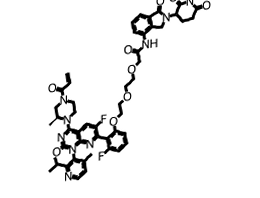 C=CC(=O)N1CCN(c2nc(=O)n(-c3c(C)ccnc3C(C)C)c3nc(-c4c(F)cccc4OCCOCCOCC(=O)Nc4cccc5c4CN(C4CCC(=O)NC4=O)C5=O)c(F)cc23)[C@@H](C)C1